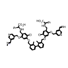 C/N=C/c1cncc(COc2cc(OCc3cccc(-c4cccc(COc5cc(OCc6cncc(C=N)c6)c(CNC(C(=O)O)C(C)C)cc5Cl)c4C)c3C)c(Cl)cc2CNC(C(=O)O)C(C)C)c1